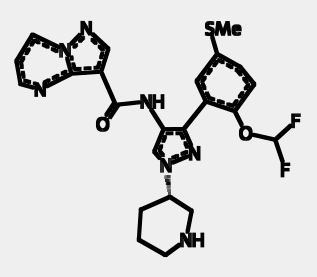 CSc1ccc(OC(F)F)c(-c2nn([C@H]3CCCNC3)cc2NC(=O)c2cnn3cccnc23)c1